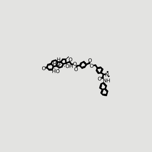 C[C@@H]1C[C@H]2[C@@H]3CCC4=CC(=O)C=C[C@]4(C)[C@@]3(F)[C@@H](O)C[C@]2(C)[C@@]1(O)C(=O)COC(=O)c1ccc(C(=O)OCc2ccc(C(C(=O)Nc3ccc4ccccc4c3)N(C)C)cc2)cc1